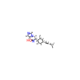 Cc1cc(C#CC2CC2)ccc1/C(Cn1ccnc1)=N/O